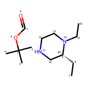 CC(C)(C)OC=O.CC[C@@H]1CNCCN1CC